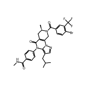 CNC(=O)c1ccc(-n2c(=O)c3c(n4ncc(CC(C)C)c24)CN(C(=O)c2ccc(Br)c(C(F)(F)F)c2)[C@H](C)C3)cc1